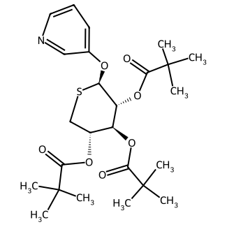 CC(C)(C)C(=O)O[C@@H]1[C@@H](OC(=O)C(C)(C)C)[C@H](OC(=O)C(C)(C)C)CS[C@H]1Oc1cccnc1